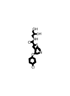 O=C(NCC(O)CO)c1cc2c(Oc3ccc(Cl)cc3)cncc2s1